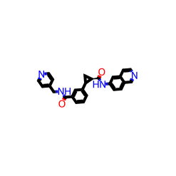 O=C(NCc1ccncc1)c1cccc(C2C[C@H]2C(=O)Nc2ccc3cnccc3c2)c1